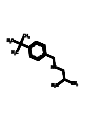 CC(N)CNCc1ccc(C(C)(C)C)cc1